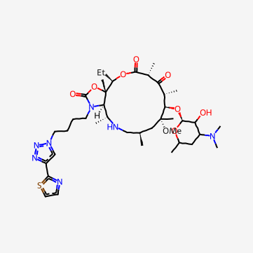 CC[C@H]1OC(=O)[C@H](C)C(=O)[C@H](C)[C@@H](O[C@@H]2OC(C)CC(N(C)C)C2O)[C@](C)(OC)C[C@@H](C)CN[C@H](C)[C@H]2N(CCCCn3cc(-c4nccs4)nn3)C(=O)O[C@]12C